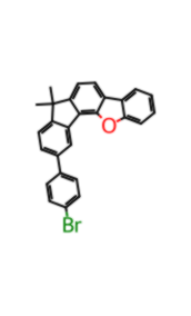 CC1(C)c2ccc(-c3ccc(Br)cc3)cc2-c2c1ccc1c2oc2ccccc21